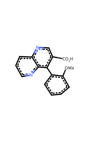 COc1ccccc1-c1c(C(=O)O)cnc2cccnc12